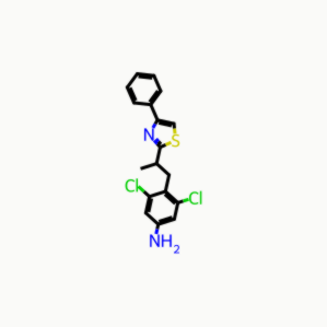 CC(Cc1c(Cl)cc(N)cc1Cl)c1nc(-c2ccccc2)cs1